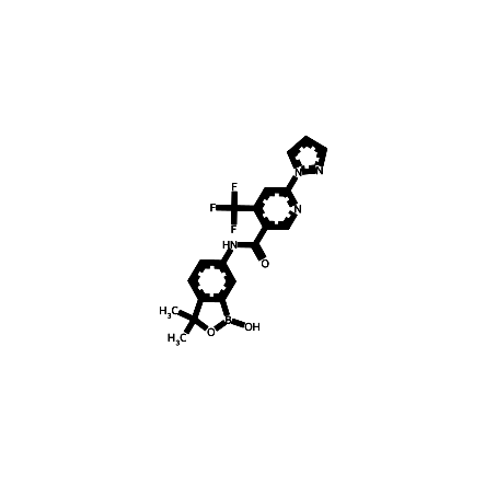 CC1(C)OB(O)c2cc(NC(=O)c3cnc(-n4cccn4)cc3C(F)(F)F)ccc21